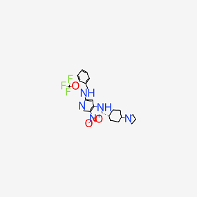 O=[N+]([O-])c1cnc(NCc2ccccc2OC(F)(F)F)cc1NC[C@H]1CC[C@H](N2CCC2)CC1